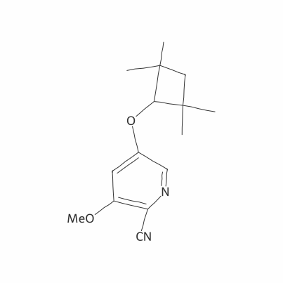 COc1cc(OC2C(C)(C)CC2(C)C)cnc1C#N